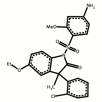 CCOc1ccc2c(c1)C(C)(c1ccccc1Cl)C(=O)N2S(=O)(=O)c1ccc(N)cc1OC